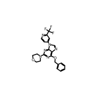 FC(F)(F)c1cc(-n2cnc3c(OCc4ccccc4)nc(N4CCOCC4)nc32)ccn1